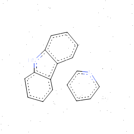 [Ag].c1ccc2c(c1)[nH]c1ccccc12.c1ccncc1